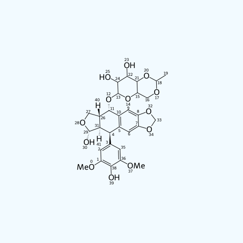 COc1cc([C@@H]2c3cc4c(cc3[C@@H](OC3OC5COC(C)OC5C(O)C3O)[C@H]3CO[C@@H](O)[C@H]23)OCO4)cc(OC)c1O